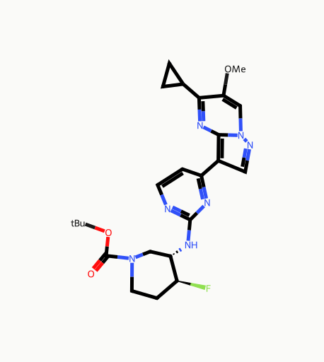 COc1cn2ncc(-c3ccnc(N[C@H]4CN(C(=O)OC(C)(C)C)CC[C@@H]4F)n3)c2nc1C1CC1